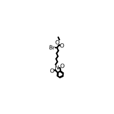 CCOC(=O)C(Br)CCCCCCN1C(=O)c2ccccc2C1=O